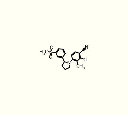 Cc1c(N2CCCC2c2cccc(S(C)(=O)=O)c2)ccc(C#N)c1Cl